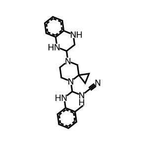 Cc1ccccc1NC(NC#N)N1CCN(C2CNc3ccccc3N2)CC12CC2